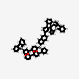 c1ccc(-c2ccc(-c3ccccc3N(c3ccc(-c4cccc(-n5c6ccccc6c6ccccc65)c4)cc3)c3ccc4cc(-c5ccc6c(c5)C5(c7ccccc7-6)c6ccccc6-n6c7ccccc7c7cccc5c76)ccc4c3)cc2)cc1